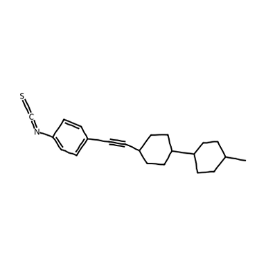 CC1CCC(C2CCC(C#Cc3ccc(N=C=S)cc3)CC2)CC1